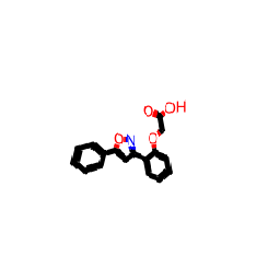 O=C(O)COc1ccccc1-c1cc(-c2ccccc2)on1